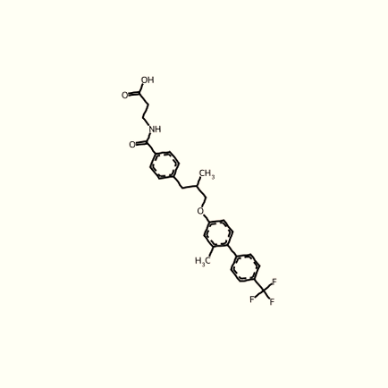 Cc1cc(OCC(C)Cc2ccc(C(=O)NCCC(=O)O)cc2)ccc1-c1ccc(C(F)(F)F)cc1